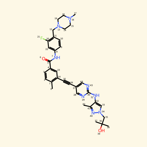 Cc1ccc(C(=O)Nc2ccc(CN3CCN(C)CC3)c(F)c2)cc1C#Cc1cnc(Nc2cn(CC(C)(C)O)nc2C)nc1